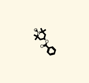 CC1(C)CC(OC(=O)c2ccccc2)CC(C)(C)N1[O]